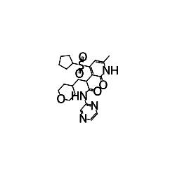 Cc1cc(S(=O)(=O)C2CCCC2)c(C(CC2CCOCC2)C(=O)Nc2cnccn2)c(=O)[nH]1